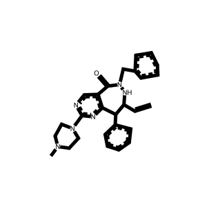 C=CC1NN(Cc2ccccc2)C(=O)c2cnc(N3CCN(C)CC3)nc2C1c1ccccc1